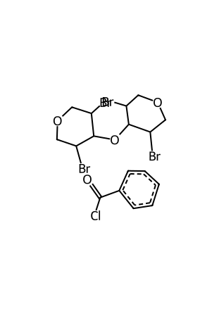 BrC1COCC(Br)C1OC1C(Br)COCC1Br.O=C(Cl)c1ccccc1